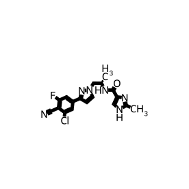 Cc1nc(C(=O)N[C@H](C)Cn2ccc(-c3cc(F)c(C#N)c(Cl)c3)n2)c[nH]1